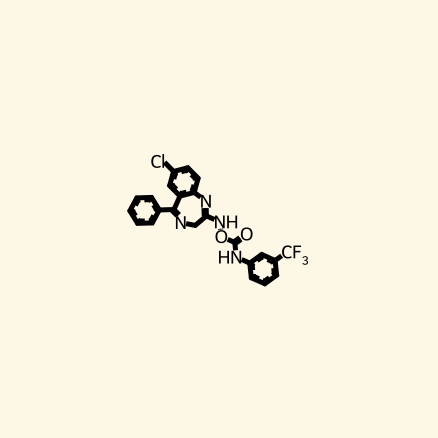 O=C(Nc1cccc(C(F)(F)F)c1)ONC1=Nc2ccc(Cl)cc2C(c2ccccc2)=NC1